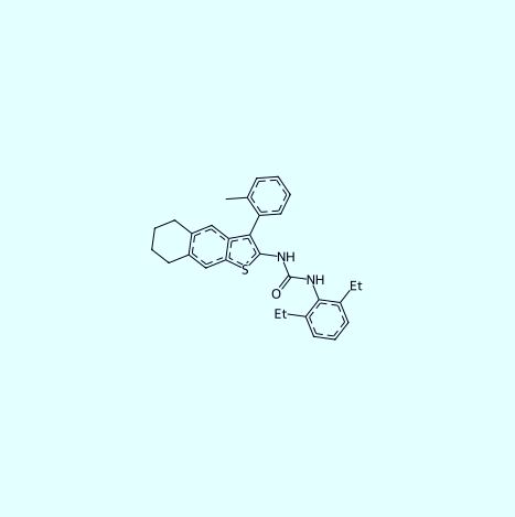 CCc1cccc(CC)c1NC(=O)Nc1sc2cc3c(cc2c1-c1ccccc1C)CCCC3